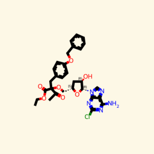 CCOC(=O)C(Cc1ccc(OCc2ccccc2)cc1)(OC[C@@H]1C[C@@H](O)[C@H](n2cnc3c(N)nc(Cl)nc32)O1)C(C)=O